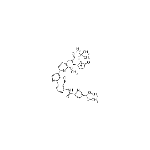 COc1nc(-c2ccnc(-c3cccc(NC(=O)c4ccc(C(OC)OC)cn4)c3F)c2Cl)ccc1CN(C[C@@H]1CCC(=O)N1)C(=O)OC(C)(C)C